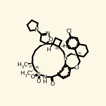 C[C@@H]1[C@@H](C)CCC[C@]2(CC(N3CCCC3)=NO2)[C@@H]2CC[C@H]2CN2C[C@@]3(CCCc4cc(Cl)ccc43)COc3ccc(cc32)C(=O)NS1(=O)=O